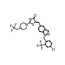 O=C1N=C(N2CCN(CC(F)(F)F)CC2)S/C1=C\c1ccc2c(cnn2Cc2ccc(Cl)cc2C(F)(F)F)c1